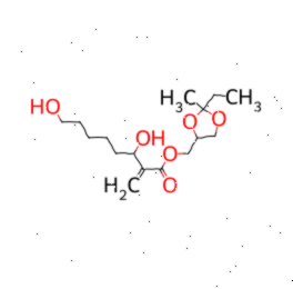 C=C(C(=O)OCC1COC(C)(CC)O1)C(O)CCCCCO